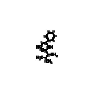 CC(C)[C@H](N)C(=O)NC(CO)c1ccccc1